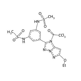 CCOc1cc2n(C(=O)C(Cl)(Cl)Cl)c(-c3cc(NS(C)(=O)=O)cc(NS(C)(=O)=O)c3)nn2n1